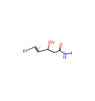 CC/C=C/C(O)CC(=O)NI